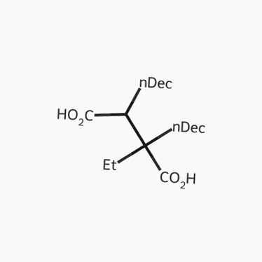 CCCCCCCCCCC(C(=O)O)C(CC)(CCCCCCCCCC)C(=O)O